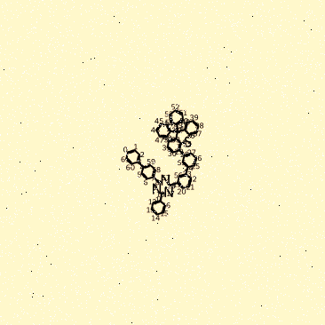 c1ccc(-c2ccc(-c3nc(-c4ccccc4)nc(-c4cccc(-c5cccc(-c6cccc7c6Sc6ccccc6C7(c6ccccc6)c6ccccc6)c5)c4)n3)cc2)cc1